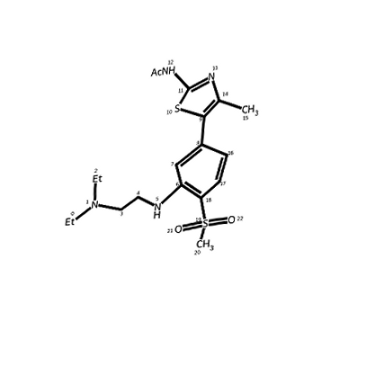 CCN(CC)CCNc1cc(-c2sc(NC(C)=O)nc2C)ccc1S(C)(=O)=O